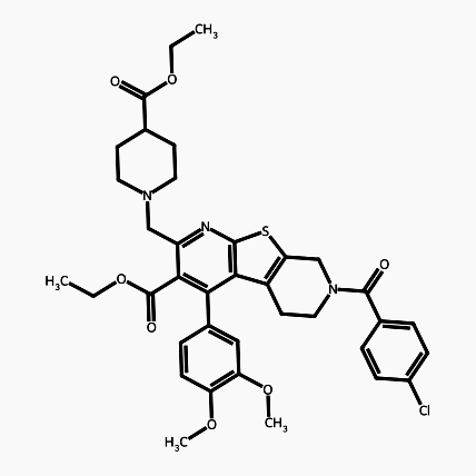 CCOC(=O)c1c(CN2CCC(C(=O)OCC)CC2)nc2sc3c(c2c1-c1ccc(OC)c(OC)c1)CCN(C(=O)c1ccc(Cl)cc1)C3